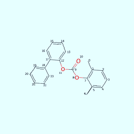 Cc1cccc(C)c1OC(=O)Oc1ccccc1-c1ccccc1